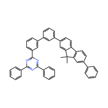 CC1(C)c2cc(-c3ccccc3)ccc2-c2ccc(-c3cccc(-c4cccc(-c5nc(-c6ccccc6)nc(-c6ccccc6)n5)c4)c3)cc21